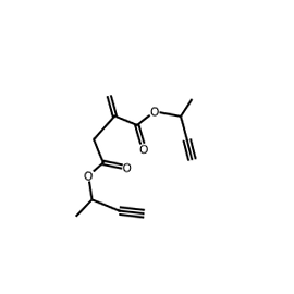 C#CC(C)OC(=O)CC(=C)C(=O)OC(C)C#C